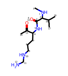 CNC(C(=O)NC(CCCNCN)C(C)=O)C(C)C